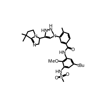 COc1c(NC(=O)c2ccc(C)c(N3C=C(C4CN=C5N4CCC5(C)C)NN3)c2)cc(C(C)(C)C)cc1NS(C)(=O)=O